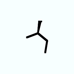 [CH2][C@H](C)CC